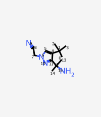 CC(C)(C)c1cn(CC#N)nc1C(C)(C)N